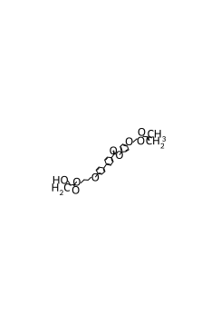 C=C(C)C(=O)OCCOc1ccc(OC(=O)c2ccc(-c3ccc(OCCCCOC(=O)C(=C)CO)cc3)cc2)cc1